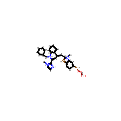 Cn1ccnc1C1=C/C(=C\c2sc3ccc(SOOO)cc3[n+]2C)c2ccccc2N1Cc1ccccc1